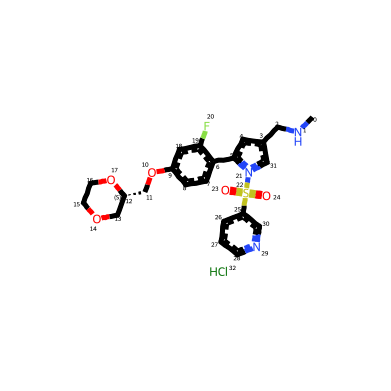 CNCc1cc(-c2ccc(OC[C@@H]3COCCO3)cc2F)n(S(=O)(=O)c2cccnc2)c1.Cl